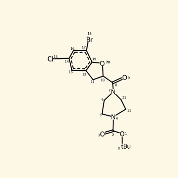 CC(C)(C)OC(=O)N1CCN(C(=O)C2Cc3cc(Cl)cc(Br)c3O2)CC1